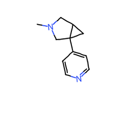 CN1CC2CC2(c2ccncc2)C1